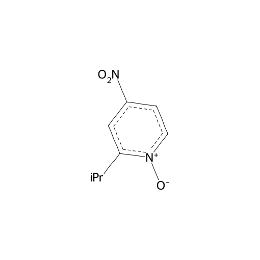 CC(C)c1cc([N+](=O)[O-])cc[n+]1[O-]